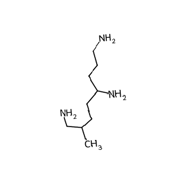 CC(CN)CCC(N)CCCN